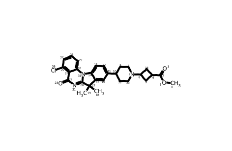 COC(=O)C1CC(N2CCC(c3ccc4c(c3)C(C)(C)c3nc(=O)c5c(Cl)cccc5n3-4)CC2)C1